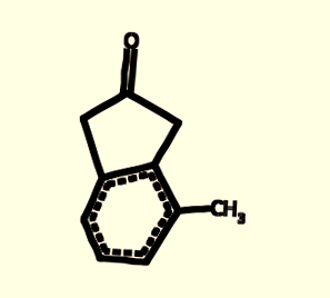 Cc1cccc2c1CC(=O)C2